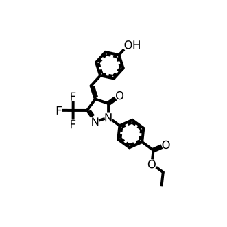 CCOC(=O)c1ccc(N2N=C(C(F)(F)F)/C(=C/c3ccc(O)cc3)C2=O)cc1